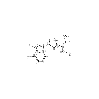 COC[C@H]1CC(c2nc(I)c3c(Cl)nccn23)CN1C(=O)OC(C)(C)C